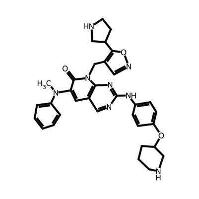 CN(c1ccccc1)c1cc2cnc(Nc3ccc(OC4CCCNC4)cc3)nc2n(Cc2cnoc2C2CCNC2)c1=O